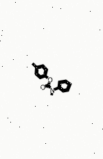 Cc1ccc(OC(=O)N(C)c2ccccc2)cc1